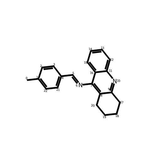 Cc1ccc(C=Nc2c3c(nc4ccccc24)CCCC3)cc1